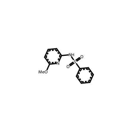 COc1cccc(NS(=O)(=O)c2ccccc2)n1